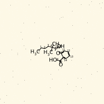 CCCCC(C)(C)P(O)Oc1ccccc1C(=O)O